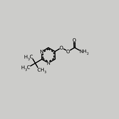 CC(C)(C)c1ncc(OOC(N)=O)cn1